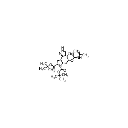 CC[C@H](C[C@@H]1[C@H](c2cc[nH]n2)C[C@H](C(=O)OC(C)(C)C)N1C(=O)OC(C)(C)C)OC(NC(C)=O)OC